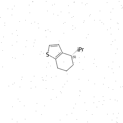 CC(C)[C@@H]1CCCc2sccc21